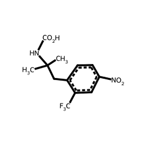 CC(C)(Cc1ccc([N+](=O)[O-])cc1C(F)(F)F)NC(=O)O